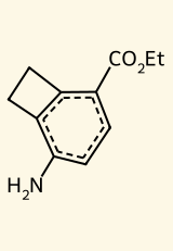 CCOC(=O)c1ccc(N)c2c1CC2